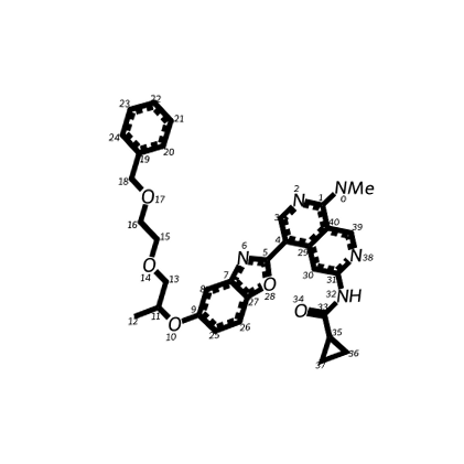 CNc1ncc(-c2nc3cc(OC(C)COCCOCc4ccccc4)ccc3o2)c2cc(NC(=O)C3CC3)ncc12